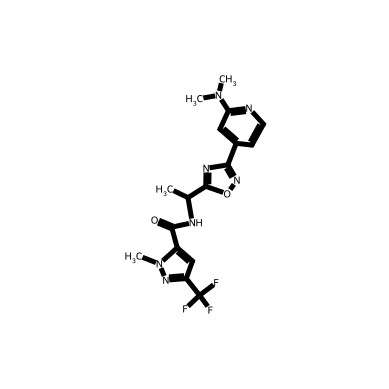 CC(NC(=O)c1cc(C(F)(F)F)nn1C)c1nc(-c2ccnc(N(C)C)c2)no1